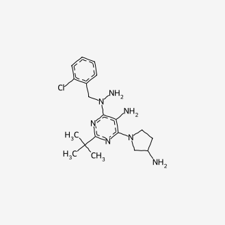 CC(C)(C)c1nc(N(N)Cc2ccccc2Cl)c(N)c(N2CCC(N)C2)n1